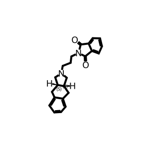 O=C1c2ccccc2C(=O)N1CCCN1C[C@H]2Cc3ccccc3C[C@H]2C1